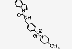 CC1CCN(S(=O)(=O)c2ccc(CNC(=O)n3ccc4ccccc43)cc2)CC1